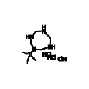 Cl.Cl.Cl.[CH3][Ti]([CH3])([CH3])[N]1CNCNCNC1